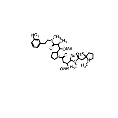 CCC(C)C(C(CC(=O)N1CCCC1C(OC)C(C)C(=O)N(C)CCc1cccc([N+](=O)[O-])c1)OC)N(C)C(=O)CC1(SC)CCCN1C